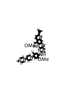 COCc1c(Nc2nc(Nc3cc(C)c(N4CCC(N5CCN(C)CC5)CC4)cc3OC)ncc2Br)ccc2nc(C3CC3)ccc12